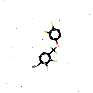 CCCc1ccc(C(F)(F)Oc2ccc(F)c(F)c2)c(F)c1F